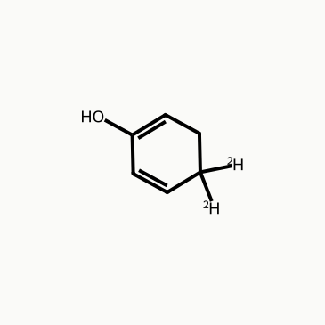 [2H]C1([2H])C=CC(O)=CC1